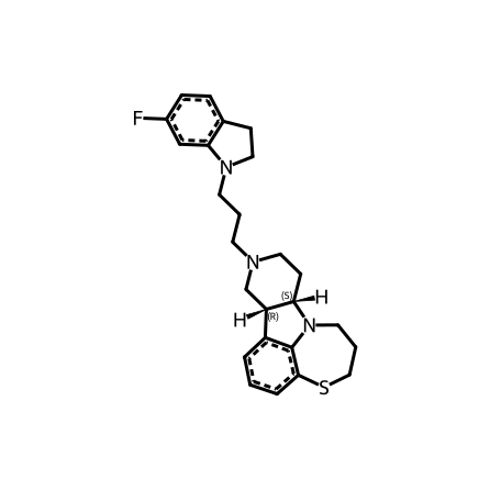 Fc1ccc2c(c1)N(CCCN1CC[C@H]3[C@@H](C1)c1cccc4c1N3CCCS4)CC2